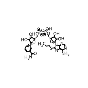 CCCSc1nc2c(N)ncnc2n1[C@@H]1O[C@H](COP(=O)(O)OP(=O)(O)OC[C@@H]2O[C@H]([n+]3cccc(C(N)=O)c3)C(O)[C@@H]2O)C(O)[C@@H]1O